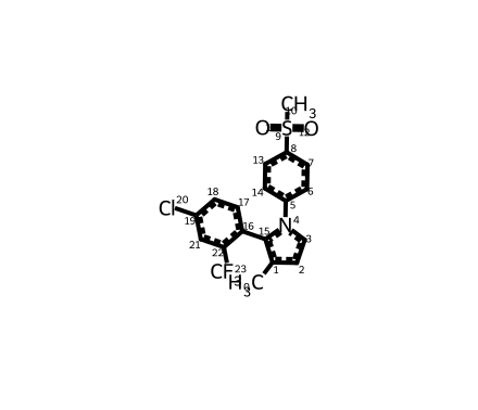 Cc1ccn(-c2ccc(S(C)(=O)=O)cc2)c1-c1ccc(Cl)cc1C(F)(F)F